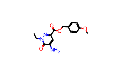 CCn1nc(C(=O)OCc2ccc(OC)cc2)cc(N)c1=O